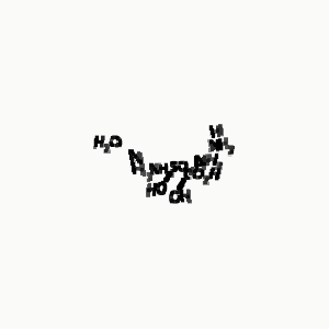 I.N.N.N.N.O.O=C(O)O.O=S(=O)(O)O